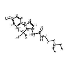 CCN(CC)CCCNC(=O)Nc1cnn(-c2ccc(Cl)cc2)c1C(F)(F)F